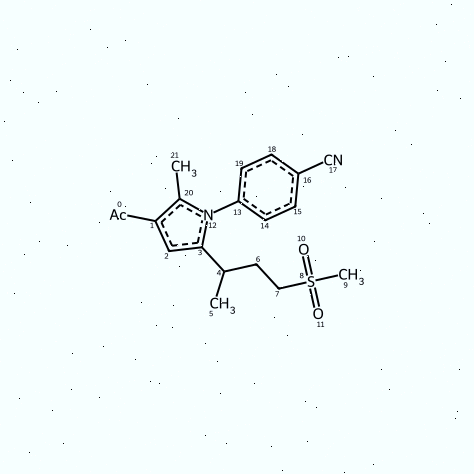 CC(=O)c1cc(C(C)CCS(C)(=O)=O)n(-c2ccc(C#N)cc2)c1C